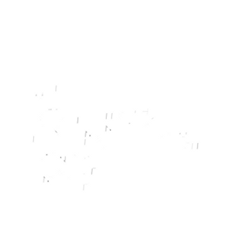 COc1cc(F)c([C@H]2[C@H](NC(=O)NC3CCc4cc(OC)ccc4C3(C)C)C(=O)N(c3ncccc3C(F)(F)F)[C@H]2C)c(F)c1